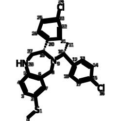 CSc1ccc2c(c1)CN([C@H](C)c1ccc(Cl)cc1)[C@@H](c1ccc(Cl)cc1)CN2